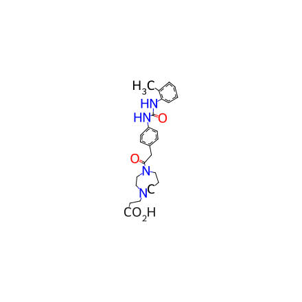 Cc1ccccc1NC(=O)Nc1ccc(CC(=O)N2CCCN(CCC(=O)O)CC2)cc1